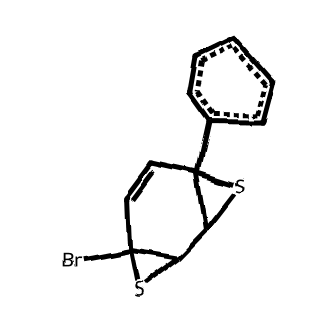 BrC12C=CC3(c4ccccc4)SC3C1S2